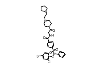 O=C(NCC(=O)N1CCN(CCN2CCCC2)CC1)c1ccc(S(=O)(=O)N(Oc2ccc(Br)cc2Cl)c2ccccc2)cc1